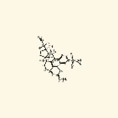 C#CC(F)(F)[C@]1(O)CC[C@H]2[C@@H]3CCC4=C/C(=N/N)CCC4=C3[C@H](c3ccc(S(=O)(=O)C4CC4)cc3)C[C@@]21C